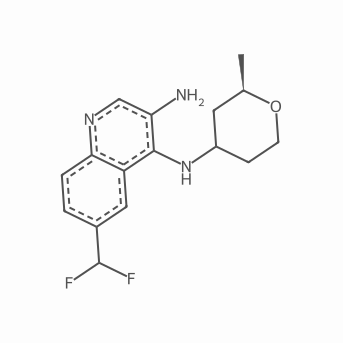 C[C@@H]1CC(Nc2c(N)cnc3ccc(C(F)F)cc23)CCO1